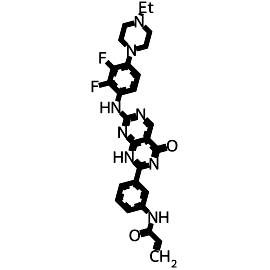 C=CC(=O)Nc1cccc(-c2nc(=O)c3cnc(Nc4ccc(N5CCN(CC)CC5)c(F)c4F)nc3[nH]2)c1